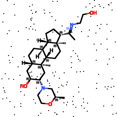 C/C(=N\CCO)[C@H]1CC[C@H]2[C@@H]3CC[C@H]4C[C@H](O)[C@@H](N5CCO[C@H](C)C5)C[C@]4(C)[C@H]3CC[C@]12C